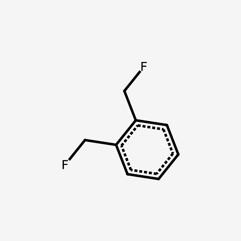 FCc1ccccc1CF